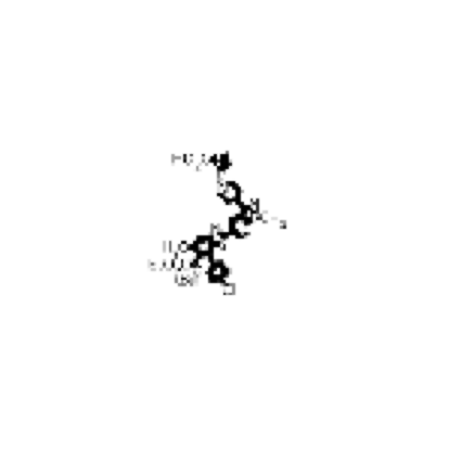 CCOC(=O)C(OC(C)(C)C)c1c(C)cc2nc(-c3ccc4c(c3)c(C3CCN(C[C@H]5CCN5C(=O)O)CC3)nn4C)sc2c1-c1ccc(Cl)cc1